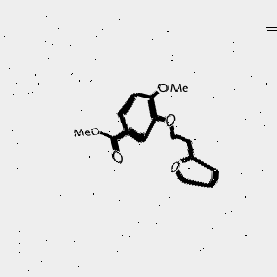 COC(=O)c1ccc(OC)c(OCCC2CCCO2)c1